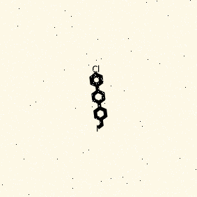 Clc1ccc(C2CCC(C3CCC(CI)CC3)CC2)cc1